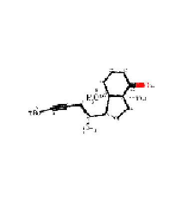 C[C@H](CC#CC(C)(C)C)[C@H]1CC[C@@H]2C(=O)CCC[C@@]21C